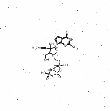 CC#CC1(N)C(CO)[C@@H](COP(=O)(O)OP(=O)(O)OP(=O)(O)O)O[C@H]1n1ccc2c(=O)[nH]c(N)nc21